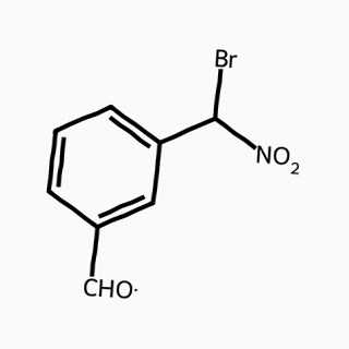 O=[C]c1cccc(C(Br)[N+](=O)[O-])c1